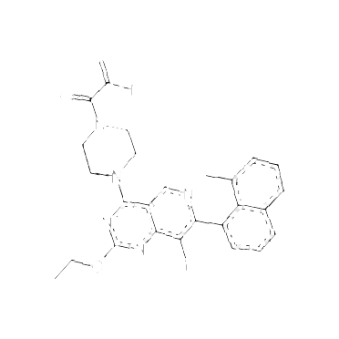 C=C(F)C(=O)N1CCN(c2nc(OCC)nc3c(F)c(-c4cccc5cccc(C)c45)ncc23)CC1